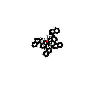 C[SiH](C)[Zr]([Cl])([Cl])([CH]1C(CC(C)(C)C)=Cc2c(-c3cccc4ccccc34)ccc(-c3cccc4ccccc34)c21)[CH]1C(CC(C)(C)C)=Cc2c(-c3cccc4ccccc34)ccc(-c3cccc4ccccc34)c21